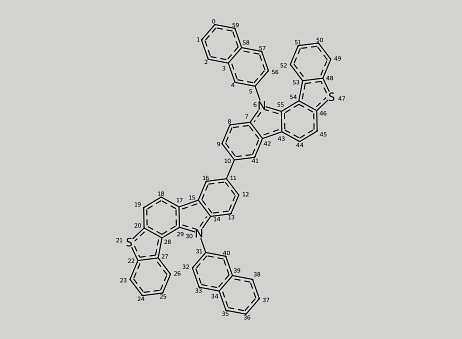 c1ccc2cc(-n3c4ccc(-c5ccc6c(c5)c5ccc7sc8ccccc8c7c5n6-c5ccc6ccccc6c5)cc4c4ccc5sc6ccccc6c5c43)ccc2c1